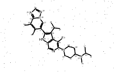 Cc1c(-c2[nH]c3cnc(N4CCC(N(C)C(C)C)CC4)c(F)c3c2C(C)C)cn2ncnc2c1C